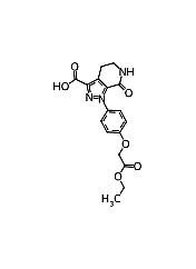 CCOC(=O)COc1ccc(-n2nc(C(=O)O)c3c2C(=O)NCC3)cc1